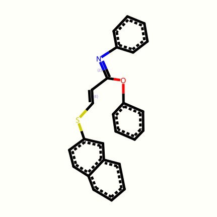 C(=C\C(=N\c1ccccc1)Oc1ccccc1)/Sc1ccc2ccccc2c1